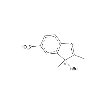 CCCC[C@@]1(C)C(C)=Nc2ccc(S(=O)(=O)O)cc21